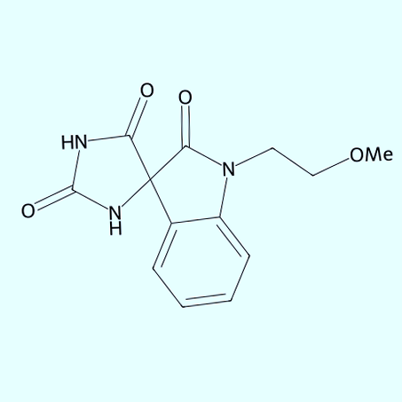 COCCN1C(=O)C2(NC(=O)NC2=O)c2ccccc21